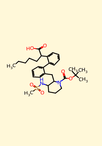 CCCCCC(C(=O)O)c1ccccc1-c1ccccc1CC1C(NS(C)(=O)=O)CCCN1C(=O)OC(C)(C)C